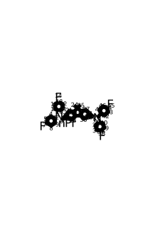 CCCC1(N(c2ccc(F)cc2)c2ccc(F)cc2)c2cc3c(cc21)C(C)(C)c1cc2c(cc1-3)C2N(c1ccc(F)cc1)c1ccc(F)cc1